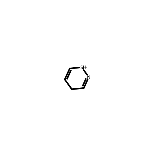 C1=C[SH]N=CC1